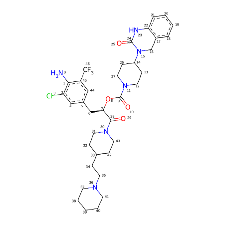 Nc1c(Cl)cc(C[C@@H](OC(=O)N2CCC(N3Cc4ccccc4NC3=O)CC2)C(=O)N2CCC(CCN3CCCCC3)CC2)cc1C(F)(F)F